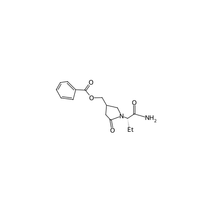 CC[C@@H](C(N)=O)N1CC(COC(=O)c2ccccc2)CC1=O